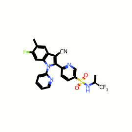 Cc1cc2c(C#N)c(-c3ccc(S(=O)(=O)N[C@@H](C)C(F)(F)F)cn3)n(-c3ccccn3)c2cc1F